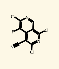 N#Cc1c(Cl)nc(Cl)c2cnc(Cl)c(F)c12